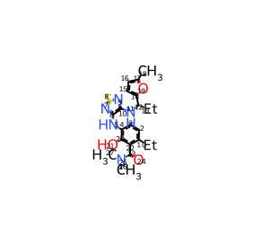 CCc1ccc(Nc2nsnc2N[C@H](CC)c2ccc(C)o2)c(O)c1C(=O)N(C)C